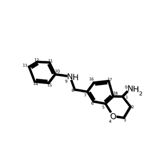 NC1CCOc2cc(CNc3ccccc3)ccc21